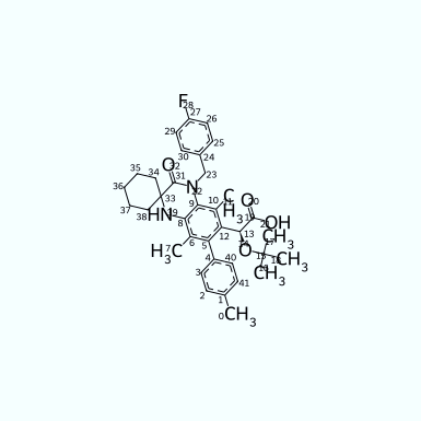 Cc1ccc(-c2c(C)c3c(c(C)c2[C@H](OC(C)(C)C)C(=O)O)N(Cc2ccc(F)cc2)C(=O)C2(CCCCC2)N3)cc1